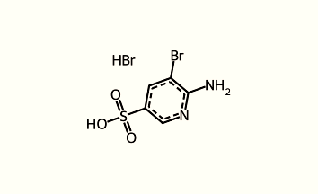 Br.Nc1ncc(S(=O)(=O)O)cc1Br